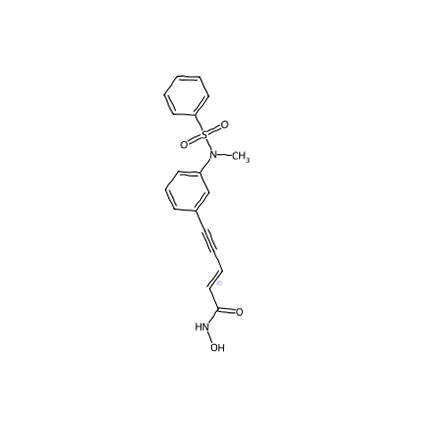 CN(c1cccc(C#C/C=C/C(=O)NO)c1)S(=O)(=O)c1ccccc1